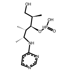 C[C@H]([C@H](O[PH](=O)O)[C@H](C)CO)[C@@H](C)Nc1ccncn1